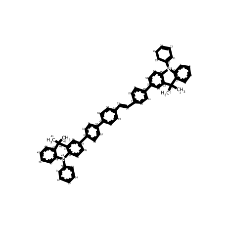 CC1(C)c2ccccc2N(C2=CC=CCC2)c2ccc(-c3ccc(/C=C/c4ccc(-c5ccc(-c6ccc7c(c6)C(C)(C)c6ccccc6N7c6ccccc6)cc5)cc4)cc3)cc21